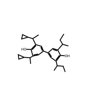 CCC(C)c1cc(-c2cc(C(C)C3CC3)c(O)c(C(C)C3CC3)c2)cc(C(C)CC)c1O